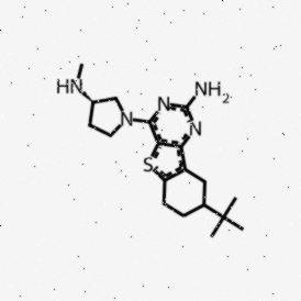 CN[C@@H]1CCN(c2nc(N)nc3c4c(sc23)CCC(C(C)(C)C)C4)C1